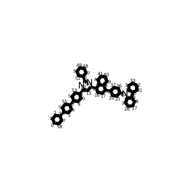 c1ccc(-c2ccc(-c3ccc(-c4cc(-c5ccc(-c6ccc(-n7c8ccccc8c8ccccc87)cc6)c6ccccc56)nc(-c5ccccc5)n4)cc3)cc2)cc1